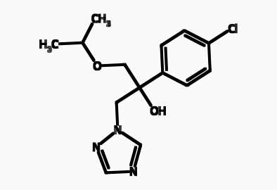 CC(C)OCC(O)(Cn1cncn1)c1ccc(Cl)cc1